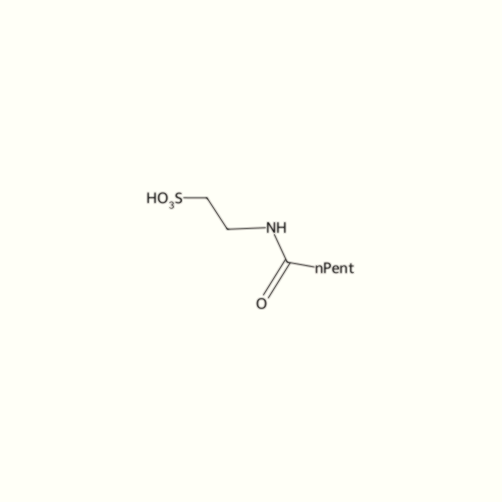 CCCCCC(=O)NCCS(=O)(=O)O